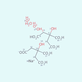 O.O.O.O.O=C(O)CC(O)(CC(=O)O)C(=O)O.O=C([O-])CC(O)(CC(=O)O)C(=O)O.[Na+]